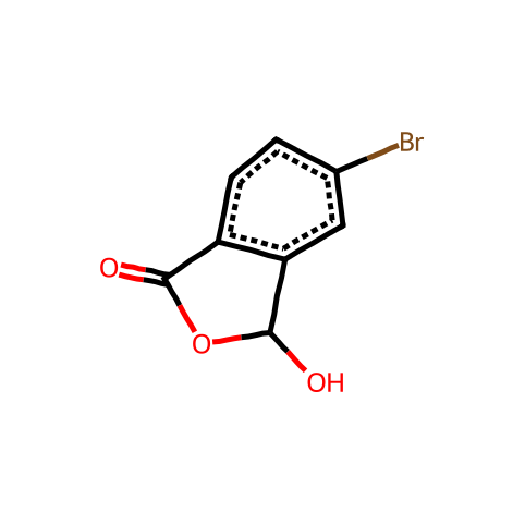 O=C1OC(O)c2cc(Br)ccc21